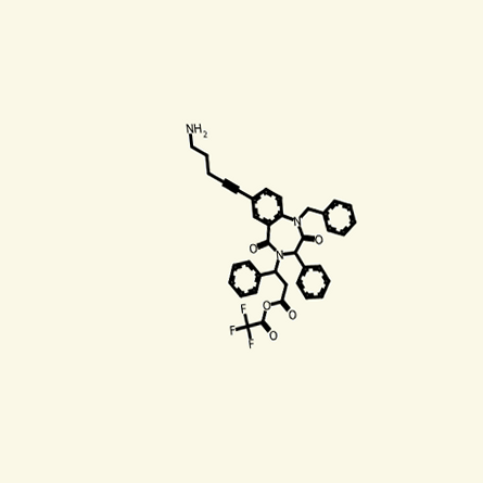 NCCCC#Cc1ccc2c(c1)C(=O)N(C(CC(=O)OC(=O)C(F)(F)F)c1ccccc1)C(c1ccccc1)C(=O)N2Cc1ccccc1